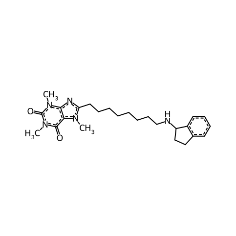 Cn1c(=O)c2c(nc(CCCCCCCCNC3CCc4ccccc43)n2C)n(C)c1=O